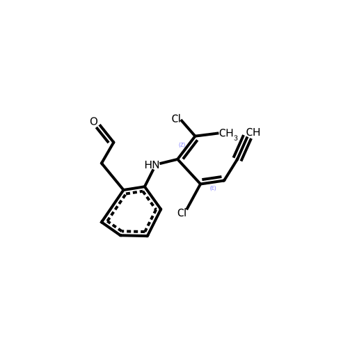 C#C/C=C(Cl)\C(Nc1ccccc1CC=O)=C(/C)Cl